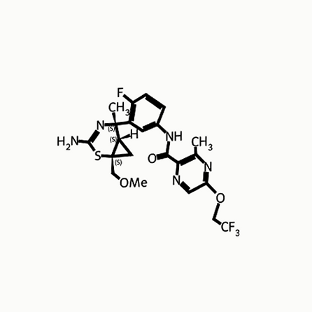 COC[C@]12C[C@H]1[C@@](C)(c1cc(NC(=O)c3ncc(OCC(F)(F)F)nc3C)ccc1F)N=C(N)S2